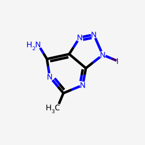 Cc1nc(N)c2nnn(I)c2n1